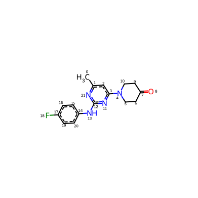 Cc1cc(N2CCC(=O)CC2)nc(Nc2ccc(F)cc2)n1